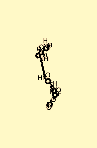 O=C1CCC(N2C(=O)c3cccc(NCCCCCCCC(=O)NC4CCC(SCc5nc6cc(OCC7CCOCC7)cc(F)c6c(=O)[nH]5)CC4)c3C2=O)C(=O)N1